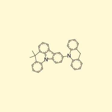 CC1(C)c2ccccc2-n2c3ccc(N4c5ccccc5Cc5ccccc54)cc3c3cccc1c32